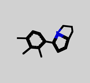 Cc1ccc(-c2ccc3n2CCC3)c(C)c1C